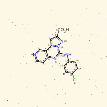 O=C(O)c1cc2c3cnccc3nc(Nc3ccc(Cl)cc3)n2n1